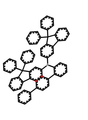 c1ccc(-c2ccc(-c3ccccc3N(c3ccc4c(c3)-c3ccccc3C4(c3ccccc3)c3ccccc3)c3ccc4c(c3)C(c3ccccc3)(c3ccccc3)c3ccccc3-4)cc2)cc1